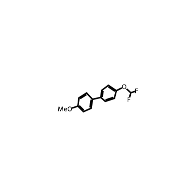 COc1ccc(-c2ccc(OC(F)F)cc2)cc1